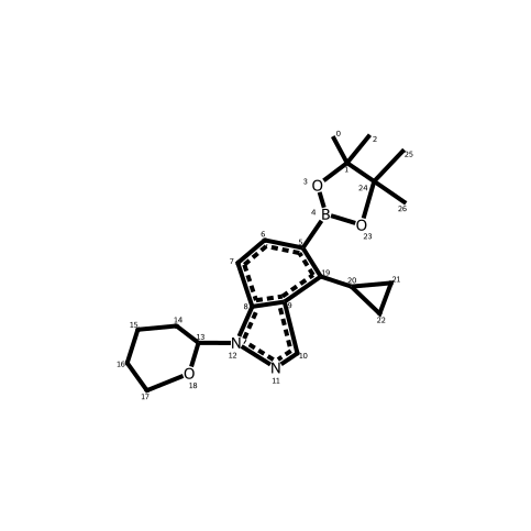 CC1(C)OB(c2ccc3c(cnn3C3CCCCO3)c2C2CC2)OC1(C)C